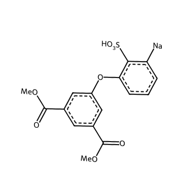 COC(=O)c1cc(Oc2ccc[c]([Na])c2S(=O)(=O)O)cc(C(=O)OC)c1